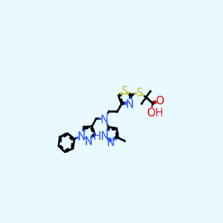 Cc1cc(N(CCc2csc(SC(C)(C)C(=O)O)n2)Cc2cnn(-c3ccccc3)c2)[nH]n1